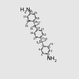 Cc1cc(N)ccc1C(C)(C)c1ccc(C(C)(C)c2ccc(N)cc2C)cc1